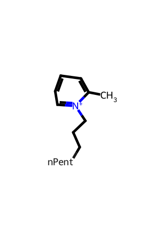 CCCCCCCC[n+]1ccccc1C